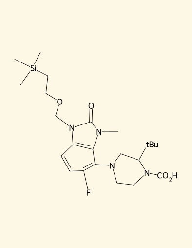 Cn1c(=O)n(COCC[Si](C)(C)C)c2ccc(F)c(N3CCN(C(=O)O)C(C(C)(C)C)C3)c21